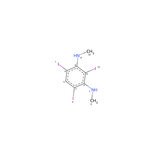 CNc1c(I)cc(I)c(NC)c1I